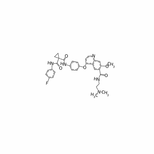 COc1cc2nccc(Oc3ccc(NC(=O)C4(C(=O)Nc5ccc(F)cc5)CC4)cc3)c2cc1C(=O)NCCN(C)C